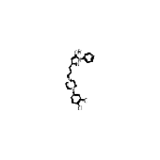 CCCc1cc(CCCN2CCN(c3ccc(Cl)c(Cl)c3)CC2)nn1-c1ccccc1